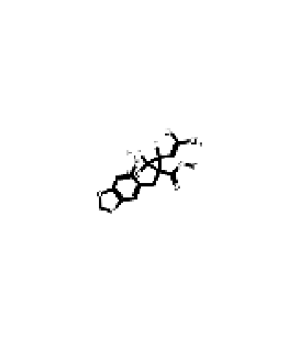 CC1(C)C(F)(C=C(Cl)C(F)(F)F)C1(Cc1cc2c(cc1F)OCO2)C(=O)OF